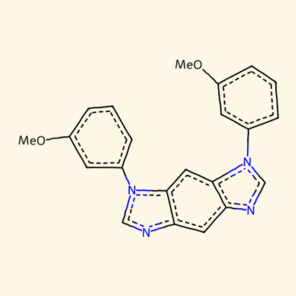 COc1cccc(-n2cnc3cc4ncn(-c5cccc(OC)c5)c4cc32)c1